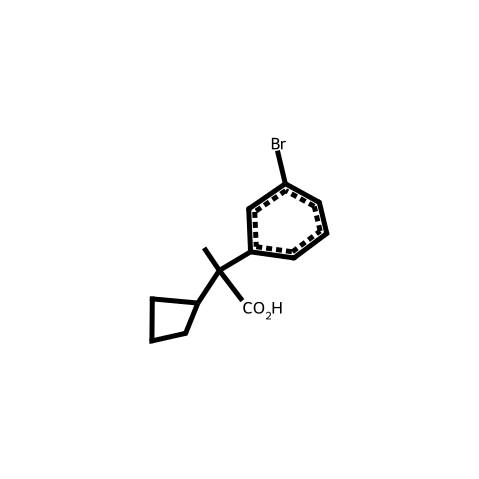 CC(C(=O)O)(c1cccc(Br)c1)C1CCC1